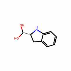 OC(O)[C@H]1Cc2ccccc2N1